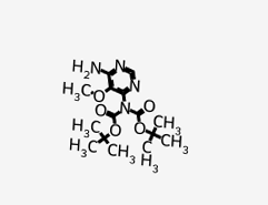 COc1c(N)ncnc1N(C(=O)OC(C)(C)C)C(=O)OC(C)(C)C